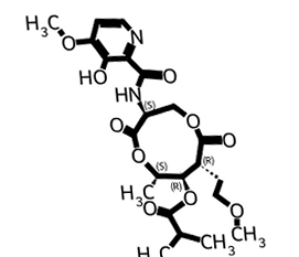 COCC[C@H]1C(=O)OC[C@H](NC(=O)c2nccc(OC)c2O)C(=O)O[C@@H](C)[C@@H]1OC(=O)C(C)C